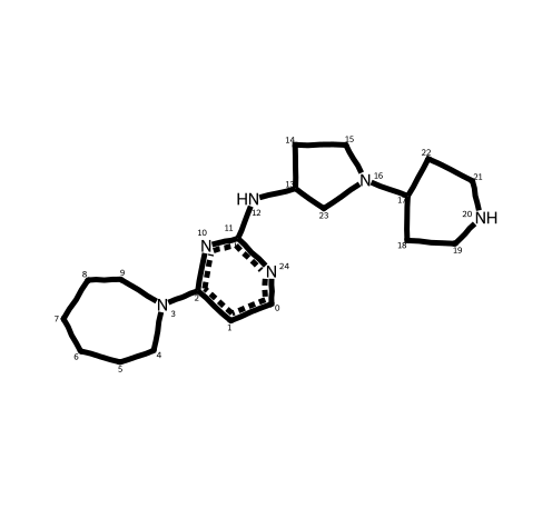 c1cc(N2CCCCCC2)nc(NC2CCN(C3CCNCC3)C2)n1